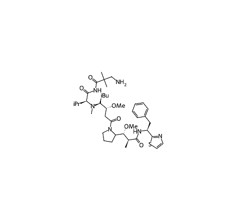 CC[C@H](C)[C@@H]([C@@H](CC(=O)N1CCCC1[C@H](OC)[C@H](C)C(=O)N[C@@H](Cc1ccccc1)c1nccs1)OC)N(C)[C@H](C(=O)NC(=O)C(C)(C)CN)C(C)C